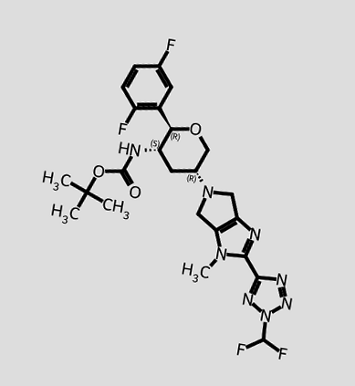 Cn1c(-c2nnn(C(F)F)n2)nc2c1CN([C@H]1CO[C@H](c3cc(F)ccc3F)[C@@H](NC(=O)OC(C)(C)C)C1)C2